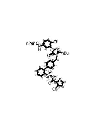 CCCCCNc1ccc(Cl)c(-n2nc(CCCC)n(Cc3ccc(-c4ccccc4S(=O)(=O)NC(=O)c4sccc4Cl)cc3)c2=O)c1